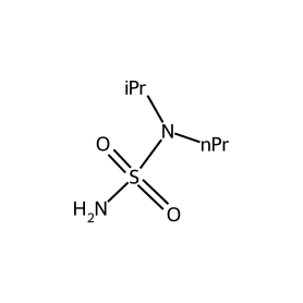 CCCN(C(C)C)S(N)(=O)=O